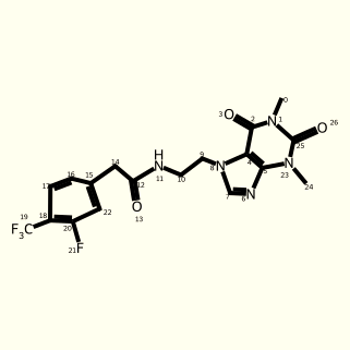 Cn1c(=O)c2c(ncn2CCNC(=O)Cc2ccc(C(F)(F)F)c(F)c2)n(C)c1=O